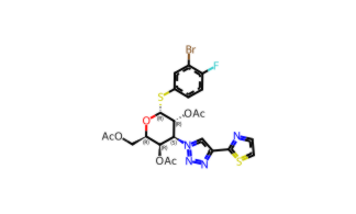 CC(=O)OC[C@H]1O[C@H](Sc2ccc(F)c(Br)c2)[C@H](OC(C)=O)[C@@H](n2cc(-c3nccs3)nn2)[C@H]1OC(C)=O